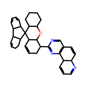 C1=CC2c3nc(C4CC=CC5C4OC4CCCCC4C54C5C=CC=CC5C5C=CCCC54)ncc3C=CC2N=C1